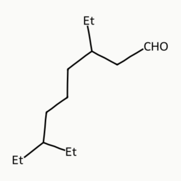 CCC(CC)CCCC(CC)CC=O